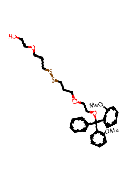 COc1ccccc1C(OCCOCCCSSCCCOCCO)(c1ccccc1)c1ccccc1OC